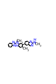 CNc1ncc2cc(-c3cc(N(C)c4nc5ccccc5[nH]4)ccc3C)ccc2n1